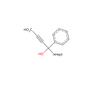 CCCCCCCC(O)(C#CC(=O)O)c1ccccc1